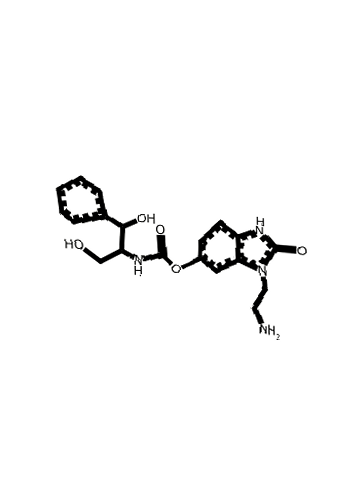 NCCn1c(=O)[nH]c2ccc(OC(=O)NC(CO)C(O)c3ccccc3)cc21